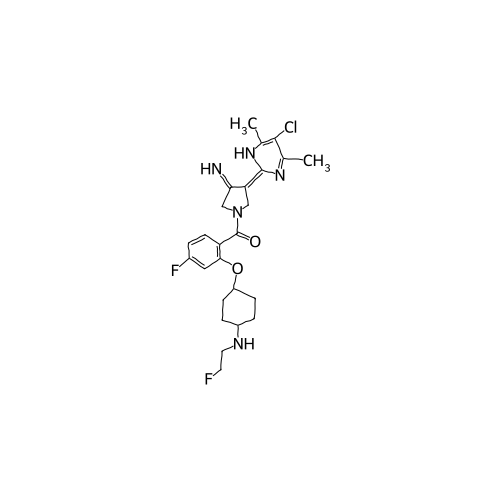 CC1=N/C(=C2\CN(C(=O)c3ccc(F)cc3OC3CCC(NCCF)CC3)CC2=N)NC(C)=C1Cl